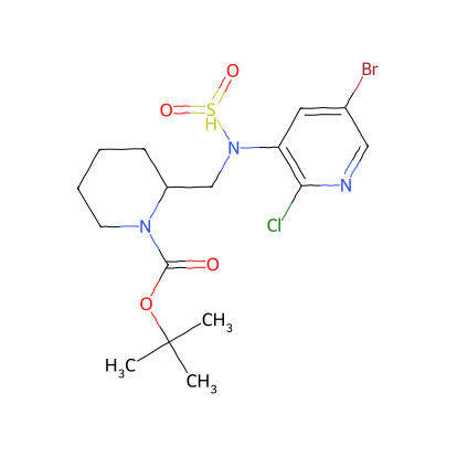 CC(C)(C)OC(=O)N1CCCCC1CN(c1cc(Br)cnc1Cl)[SH](=O)=O